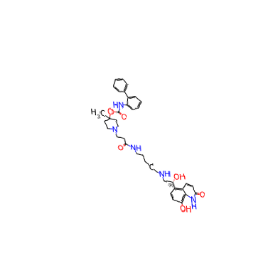 CC1(OC(=O)Nc2ccccc2-c2ccccc2)CCN(CCC(=O)NCCCCCNC[C@H](O)c2ccc(O)c3[nH]c(=O)ccc23)CC1